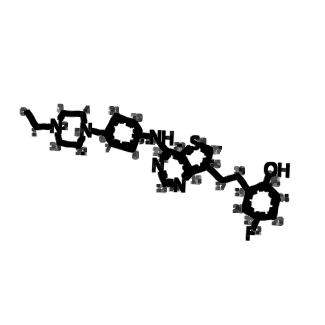 CCN1CCN(c2ccc(Nc3ncnc4c(CCc5cc(F)ccc5O)csc34)cc2)CC1